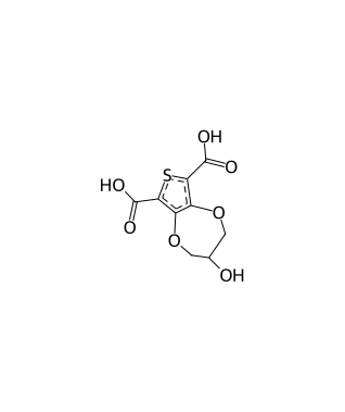 O=C(O)c1sc(C(=O)O)c2c1OCC(O)CO2